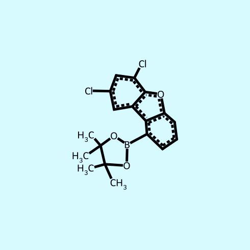 CC1(C)OB(c2cccc3oc4c(Cl)cc(Cl)cc4c23)OC1(C)C